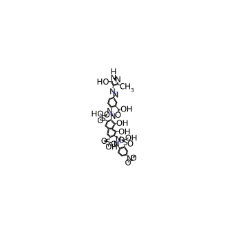 Cc1n[nH]c(O)c1/N=N/c1ccc(/N=N/c2c(S(=O)(=O)O)cc3cc(S(=O)(=O)O)c(/N=N/c4ccc([N+](=O)[O-])cc4S(=O)(=O)O)c(O)c3c2O)c(C(=O)O)c1